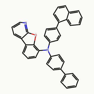 c1ccc(-c2ccc(N(c3ccc(-c4cccc5ccccc45)cc3)c3cccc4c3oc3ncccc34)cc2)cc1